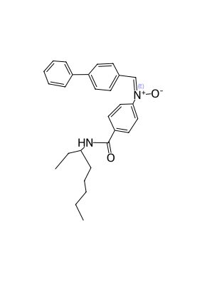 CCCCCC(CC)NC(=O)c1ccc(/[N+]([O-])=C\c2ccc(-c3ccccc3)cc2)cc1